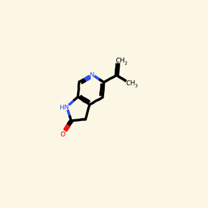 C=C(C)c1cc2c(cn1)NC(=O)C2